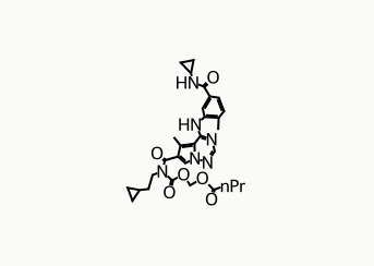 CCCC(=O)OCOC(=O)N(CCC1CC1)C(=O)c1cn2ncnc(Nc3cc(C(=O)NC4CC4)ccc3C)c2c1C